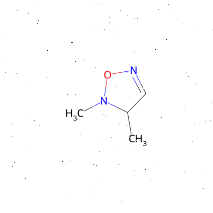 CC1C=NON1C